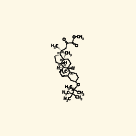 COC(=O)C(=O)C[C@@H](C)[C@H]1CC[C@H]2[C@@H]3CC=C4CC(O[Si](C)(C)C(C)(C)C)CC[C@]4(C)[C@H]3CC[C@]12C